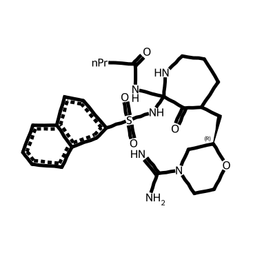 CCCC(=O)NC1(NS(=O)(=O)c2ccc3ccccc3c2)NCCCC(C[C@@H]2CN(C(=N)N)CCO2)C1=O